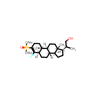 COP(=O)(OC)C1=C(F)[C@@H]2CC[C@@H]3[C@H](CC[C@]4(C)[C@@H](C(C)CO)CC[C@@H]34)[C@@]2(C)CC1